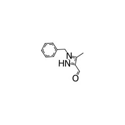 Cc1c(C=O)[nH]n1Cc1ccccc1